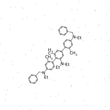 CCN(Cc1ccccc1)c1ccc(-c2[c]c(C)c(-c3ccc(N(CC)Cc4ccccc4)cc3C)c(N(CC)CC)c2)c(C)c1